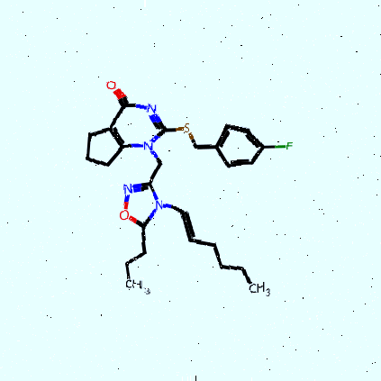 CCCC/C=C/N1C(Cn2c(SCc3ccc(F)cc3)nc(=O)c3c2CCC3)=NOC1CCC